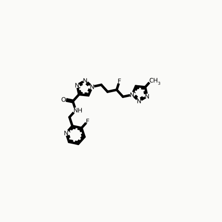 Cc1cn(CC(F)CCn2cc(C(=O)NCc3ncccc3F)nn2)nn1